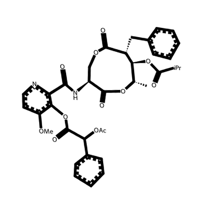 COc1ccnc(C(=O)N[C@H]2COC(=O)[C@H](Cc3ccccc3)[C@@H](OC(=O)C(C)C)[C@H](C)OC2=O)c1OC(=O)C(OC(C)=O)c1ccccc1